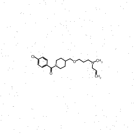 C=CCN(C)CCCOCC1CCN(C(=O)c2ccc(Cl)cc2)CC1